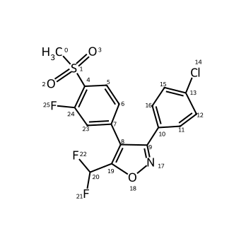 CS(=O)(=O)c1ccc(-c2c(-c3ccc(Cl)cc3)noc2C(F)F)cc1F